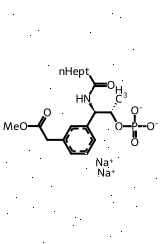 CCCCCCCC(=O)N[C@H](c1cccc(CC(=O)OC)c1)[C@H](C)OP(=O)([O-])[O-].[Na+].[Na+]